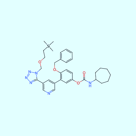 C[Si](C)(C)CCOCn1nnnc1-c1cncc(-c2cc(OC(=O)NC3CCCCCC3)ccc2OCc2ccccc2)c1